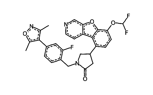 Cc1noc(C)c1-c1ccc(CN2CC(c3ccc(OC(F)F)c4oc5cnccc5c34)CC2=O)c(F)c1